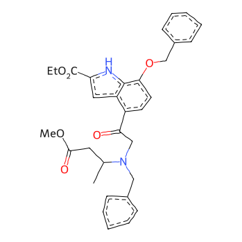 CCOC(=O)c1cc2c(C(=O)CN(Cc3ccccc3)C(C)CC(=O)OC)ccc(OCc3ccccc3)c2[nH]1